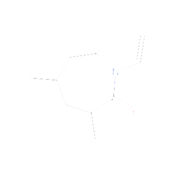 C=CN1CCC(C)CC(C)C1=O